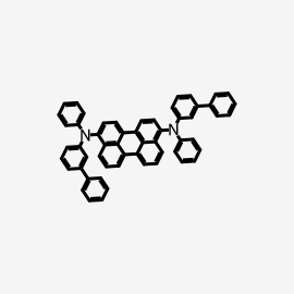 c1ccc(-c2cccc(N(c3ccccc3)c3ccc4c5ccc(N(c6ccccc6)c6cccc(-c7ccccc7)c6)c6cccc(c7cccc3c74)c65)c2)cc1